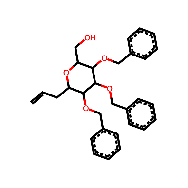 C=CCC1OC(CO)C(OCc2ccccc2)C(OCc2ccccc2)C1OCc1ccccc1